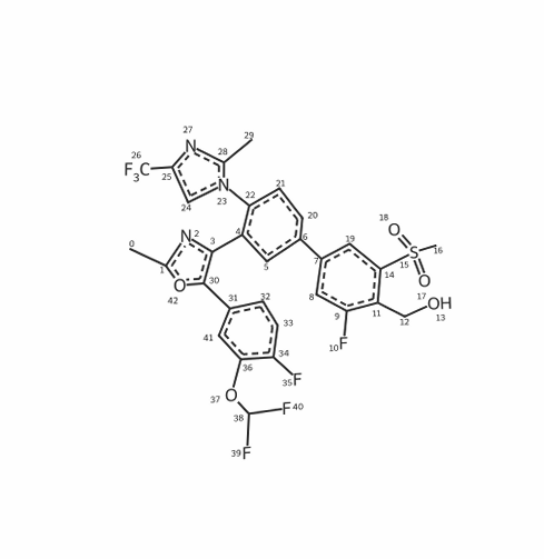 Cc1nc(-c2cc(-c3cc(F)c(CO)c(S(C)(=O)=O)c3)ccc2-n2cc(C(F)(F)F)nc2C)c(-c2ccc(F)c(OC(F)F)c2)o1